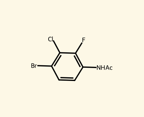 CC(=O)Nc1ccc(Br)c(Cl)c1F